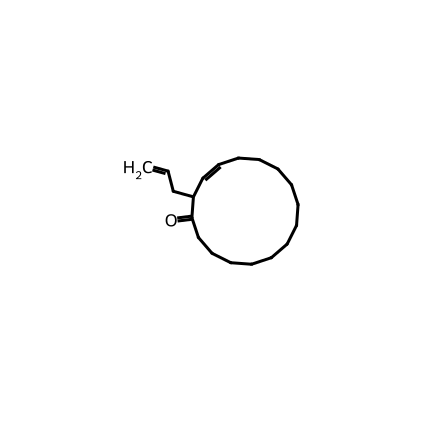 C=CCC1C=CCCCCCCCCCCCCC1=O